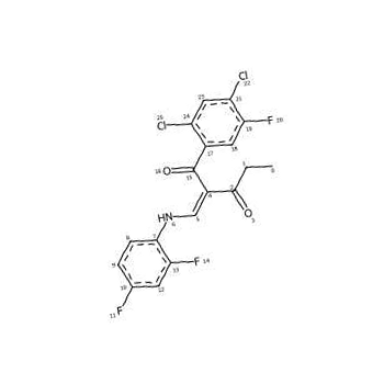 CCC(=O)C(=CNc1ccc(F)cc1F)C(=O)c1cc(F)c(Cl)cc1Cl